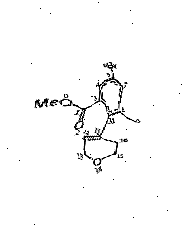 COC(=O)c1cc(Br)cc(C)c1C1=CCOCC1